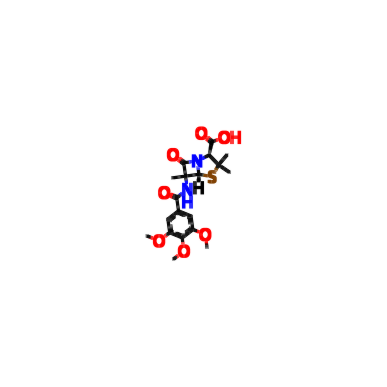 COc1cc(C(=O)NC2(C)C(=O)N3[C@@H](C(=O)O)C(C)(C)S[C@@H]32)cc(OC)c1OC